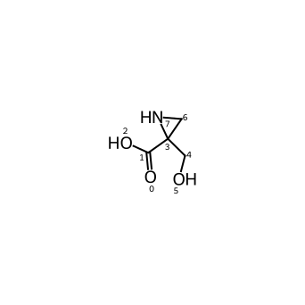 O=C(O)C1(CO)CN1